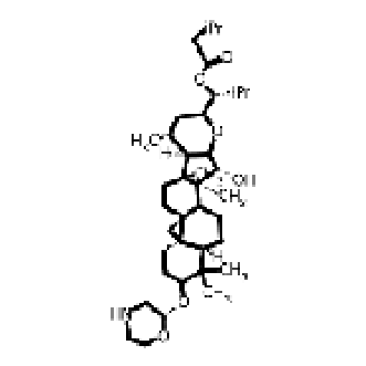 CC(C)CC(=O)O[C@H](C(C)C)C1C[C@@H](C)[C@H]2C(O1)[C@H](O)[C@@]1(C)C3CC[C@H]4C(C)(C)C(O[C@H]5CNCCO5)CC[C@@]45C[C@@]35CC[C@]21C